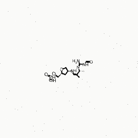 C/C(=C/N[C@@H]1CO[C@H](CO[PH](=O)O)C1)[C@@H](C)/N=C(/N)NC=O